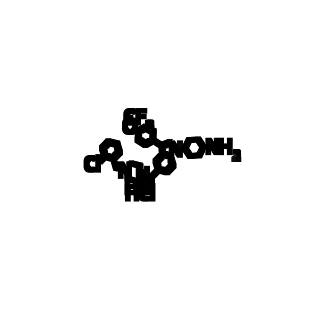 Cl.Cl.NC1CCC(n2cc(-c3ccc(OC(F)(F)F)cc3)c3cc(CN4CCN(Cc5ccccc5Cl)CC4)ccc32)CC1